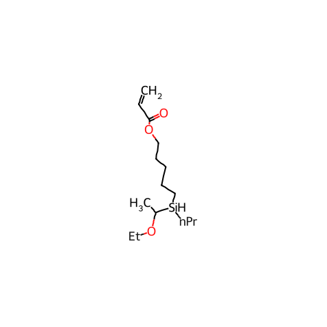 C=CC(=O)OCCCCC[SiH](CCC)C(C)OCC